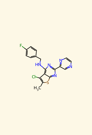 Cc1sc2nc(-c3cnccn3)nc(NCc3ccc(F)cc3)c2c1Cl